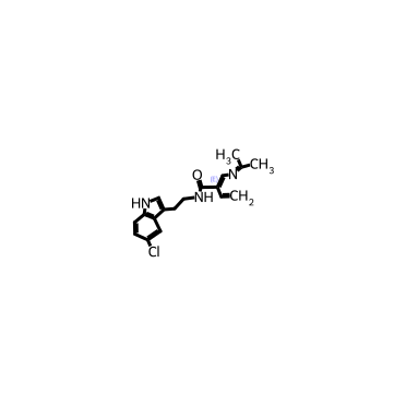 C=C/C(=C\N=C(C)C)C(=O)NCCc1c[nH]c2ccc(Cl)cc12